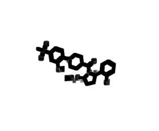 CS(=O)(=O)c1ccc(N2CCC(C(=O)N3[C@@H](c4ccccc4Cl)CC[C@H]3C(=O)O)CC2)c(C#N)c1